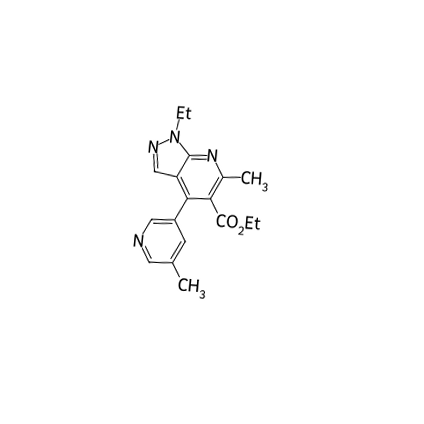 CCOC(=O)c1c(C)nc2c(cnn2CC)c1-c1cncc(C)c1